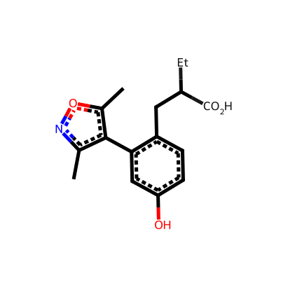 CCC(Cc1ccc(O)cc1-c1c(C)noc1C)C(=O)O